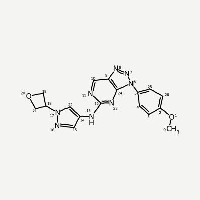 COc1ccc(-n2nnc3cnc(Nc4cnn(C5COC5)c4)nc32)cc1